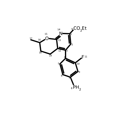 CCOC(=O)c1cc(-c2ccc(P)cc2F)c2c(n1)OC(C)CC2